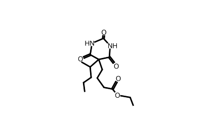 CCCC(C)C1(CCCC(=O)OCC)C(=O)NC(=O)NC1=O